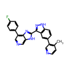 Cc1ccncc1-c1ccc2[nH]nc(-c3nc4c(-c5ccc(F)cc5)cncc4[nH]3)c2c1